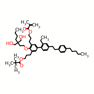 C=C(C)C(=O)OCCCc1cc(-c2ccc(CCc3ccc(CCCCC)cc3)cc2CC)cc(CCCOC(=O)C(C)(C)C)c1OCCC(CO)(CO)CCCC